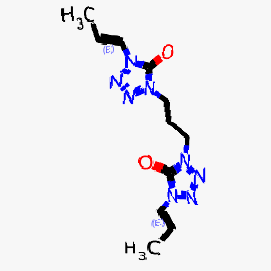 C/C=C/n1nnn(CCCn2nnn(/C=C/C)c2=O)c1=O